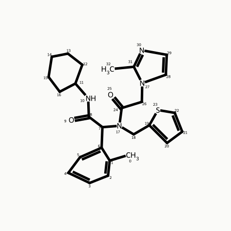 Cc1ccccc1C(C(=O)NC1CCCCC1)N(Cc1cccs1)C(=O)Cn1ccnc1C